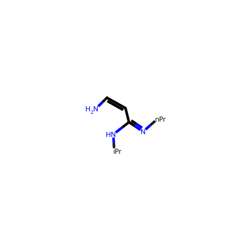 CCC/N=C(\C=C/N)NC(C)C